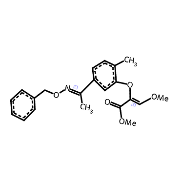 CO/C=C(\Oc1cc(/C(C)=N/OCc2ccccc2)ccc1C)C(=O)OC